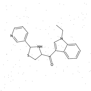 CCn1cc(C(=O)C2CSC(c3cccnc3)N2)c2ccccc21